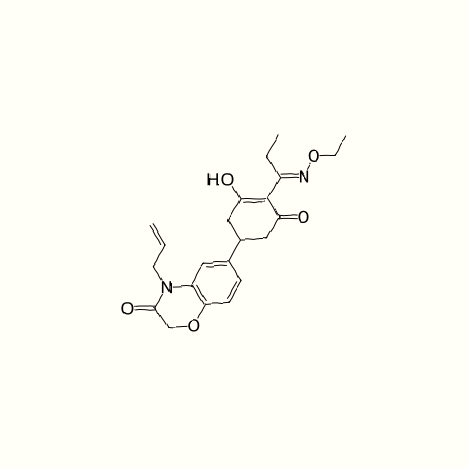 C=CCN1C(=O)COc2ccc(C3CC(=O)C(C(CC)=NOCC)=C(O)C3)cc21